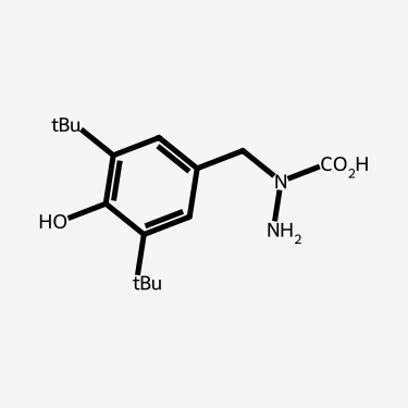 CC(C)(C)c1cc(CN(N)C(=O)O)cc(C(C)(C)C)c1O